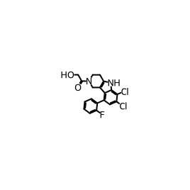 O=C(CO)N1CCc2[nH]c3c(Cl)c(Cl)cc(-c4ccccc4F)c3c2C1